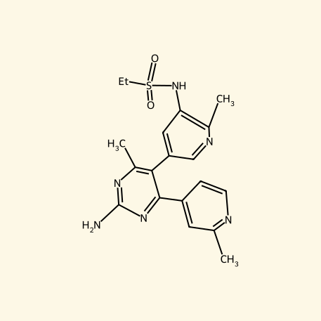 CCS(=O)(=O)Nc1cc(-c2c(C)nc(N)nc2-c2ccnc(C)c2)cnc1C